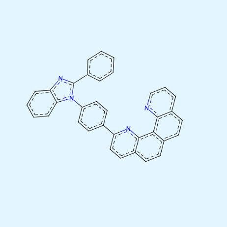 c1ccc(-c2nc3ccccc3n2-c2ccc(-c3ccc4ccc5ccc6cccnc6c5c4n3)cc2)cc1